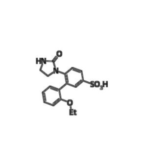 CCOc1ccccc1-c1cc(S(=O)(=O)O)ccc1N1CCNC1=O